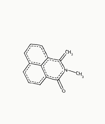 C=c1c2cccc3cccc(c(=O)n1C)c32